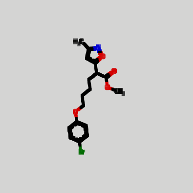 COC(=O)C(CCCCOc1ccc(Br)cc1)c1cc(C)no1